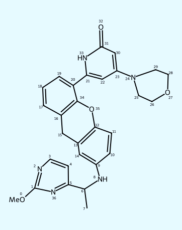 COc1nccc(C(C)Nc2ccc3c(c2)Cc2cccc(-c4cc(N5CCOCC5)cc(=O)[nH]4)c2O3)n1